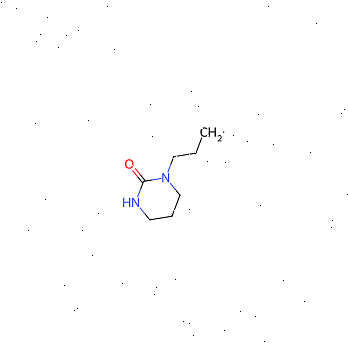 [CH2]CCN1CCCNC1=O